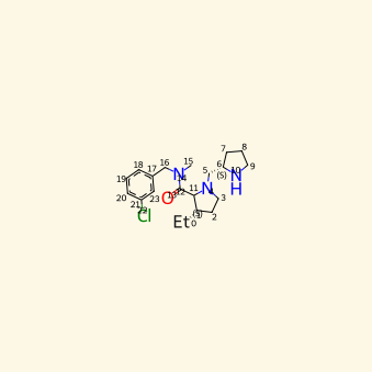 CC[C@H]1CCN(C[C@@H]2CCCN2)C1C(=O)N(C)Cc1cccc(Cl)c1